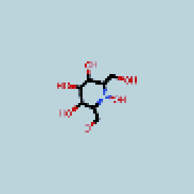 OCC1C(O)C(O)C(O)C(CO)N1O